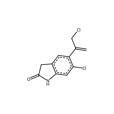 C=C(CCl)c1cc2c(cc1Cl)NC(=O)C2